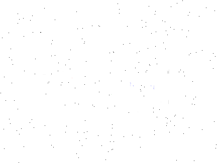 CC(C)c1ccccc1-c1nc(C(C)(C)O)cn1-c1ccc(-c2cccc(S(C)(=O)=O)c2)cc1Cl